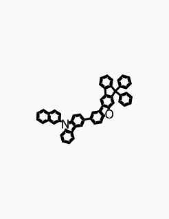 c1ccc(C2(c3ccccc3)c3ccccc3-c3cc4c(cc32)oc2ccc(-c3ccc5c(c3)c3ccccc3n5-c3ccc5ccccc5c3)cc24)cc1